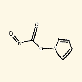 O=NC(=O)On1cccc1